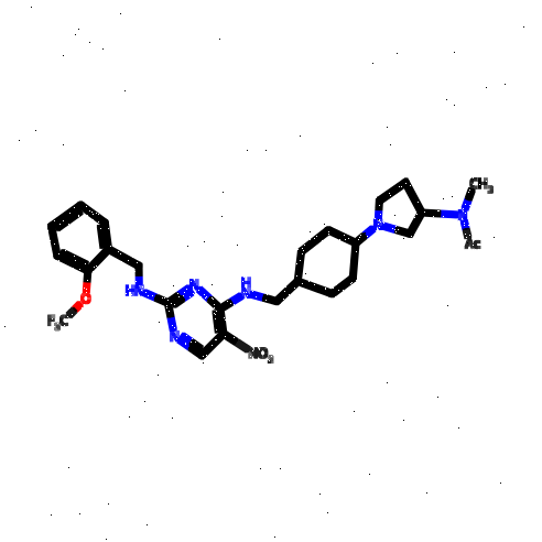 CC(=O)N(C)C1CCN(C2CCC(CNc3nc(NCc4ccccc4OC(F)(F)F)ncc3[N+](=O)[O-])CC2)C1